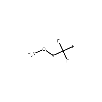 NOSC(F)(F)F